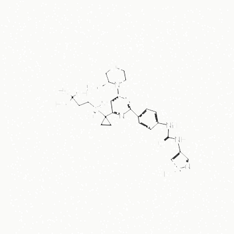 C[C@H]1COCCN1c1cc(C2(S(=O)(=O)CCC(C)(C)O)CC2)nc(-c2ccc(NC(=O)Nc3cnn(C)c3)cc2)n1